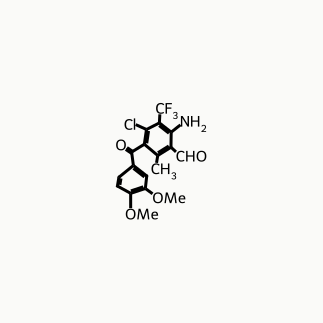 COc1ccc(C(=O)c2c(C)c(C=O)c(N)c(C(F)(F)F)c2Cl)cc1OC